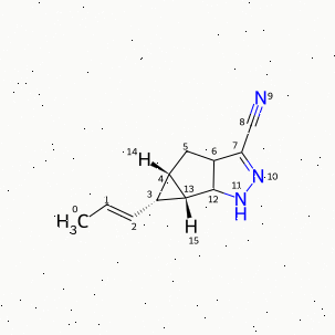 CC=C[C@@H]1[C@@H]2CC3C(C#N)=NNC3[C@H]12